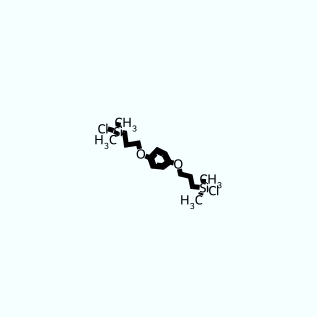 C[Si](C)(Cl)CCCOc1ccc(OCCC[Si](C)(C)Cl)cc1